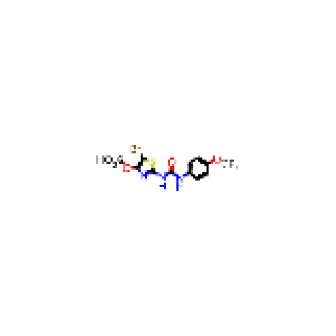 O=C(Nc1ccc(OC(F)(F)F)cc1)Nc1nc(OC(=O)O)c(Br)s1